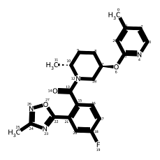 Cc1ccnc(O[C@@H]2CC[C@@H](C)N(C(=O)c3ccc(F)cc3-c3nc(C)no3)C2)c1